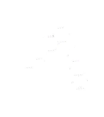 O=C(O)CCCSCCN1C(=O)CCC[C@@H]1C=CC(O)Cc1ccccc1